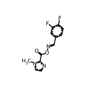 Cn1ccnc1C(=O)ON=Cc1ccc(F)c(F)c1